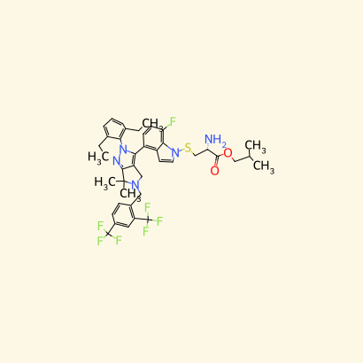 CCc1cccc(CC)c1-n1nc2c(c1-c1ccc(F)c3c1ccn3SC[C@H](N)C(=O)OCC(C)C)CN(Cc1ccc(C(F)(F)F)cc1C(F)(F)F)C2(C)C